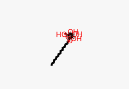 CCCCCCCCCCCCCCCCO[C@@H]1O[C@H](CO)[C@H](O)[C@H](O)[C@H]1O